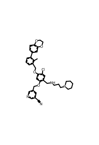 Cc1c(COc2cc(OCc3cncc(C#N)c3)c(CNCCCN3CCCCC3)cc2Cl)cccc1-c1ccc2c(c1)OCCO2